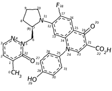 Cc1ccnn(C[C@H]2CCCN2c2cc3c(cc2F)c(=O)c(C(=O)O)cn3-c2ccc(O)cc2)c1=O